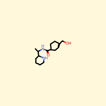 CC(NC(=O)C1CC=C(CO)CC1)C1CCCCN1